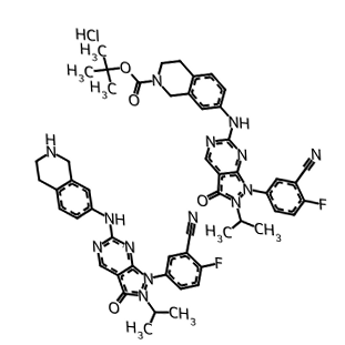 CC(C)n1c(=O)c2cnc(Nc3ccc4c(c3)CN(C(=O)OC(C)(C)C)CC4)nc2n1-c1ccc(F)c(C#N)c1.CC(C)n1c(=O)c2cnc(Nc3ccc4c(c3)CNCC4)nc2n1-c1ccc(F)c(C#N)c1.Cl